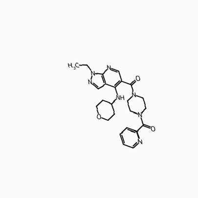 CCn1ncc2c(NC3CCOCC3)c(C(=O)N3CCN(C(=O)c4ccccn4)CC3)cnc21